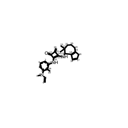 C=CN(C)c1cccc(NC2=C(NC3C4=C(CC=C4)CCCC3(C)C)C(=C)C2=O)c1C